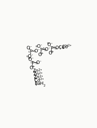 [BaH2].[Cd+2].[Cd+2].[Cd+2].[O-]P([O-])[O-].[O-]P([O-])[O-].[O-]P([O-])[O-].[O-]P([O-])[O-].[Zn+2].[Zn+2].[Zn+2]